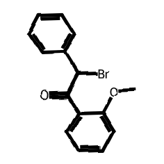 COc1ccccc1C(=O)C(Br)c1ccccc1